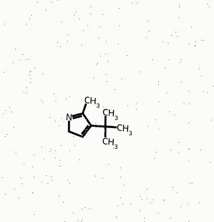 CC1=NCC=C1C(C)(C)C